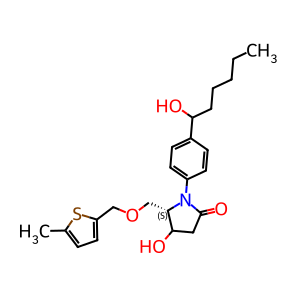 CCCCCC(O)c1ccc(N2C(=O)CC(O)[C@@H]2COCc2ccc(C)s2)cc1